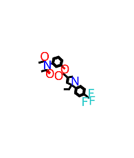 CCC1(c2ccc(C(F)(F)F)cc2)C=C(C(=O)Oc2cccc(N(C(C)=O)C(C)=O)c2)C=N1